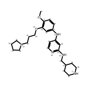 COc1ccc(Nc2ccnc(NCC3CCNCC3)c2)cc1OCCCN1CCCC1